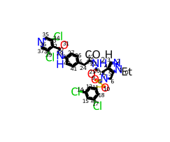 CCn1ncc2c1CN(S(=O)(=O)c1cc(Cl)cc(Cl)c1)[C@@H]2C(=O)N[C@@H](Cc1ccc(NC(=O)c2c(Cl)cncc2Cl)cc1)C(=O)O